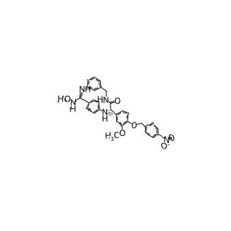 COc1cc([C@H](Nc2ccc(C(=N)NO)cc2)C(=O)NCc2ccccc2)ccc1OCc1ccc([N+](=O)[O-])cc1